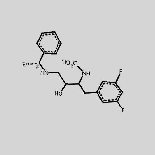 CC[C@@H](NCC(O)C(Cc1cc(F)cc(F)c1)NC(=O)O)c1ccccc1